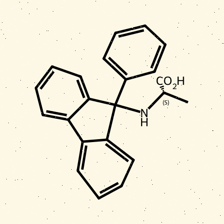 C[C@H](NC1(c2ccccc2)c2ccccc2-c2ccccc21)C(=O)O